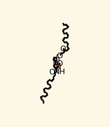 CC/C=C\C/C=C\C/C=C\C/C=C\C/C=C\C/C=C\CCC(=O)Nc1ccn(C2CC[C@@H](COCCC(=O)/C=C\C/C=C\C/C=C\C/C=C\C/C=C\C/C=C\CC)O2)c(=O)n1